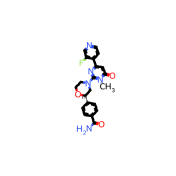 Cn1c(N2CCO[C@@H](c3ccc(C(N)=O)cc3)C2)nc(-c2ccncc2F)cc1=O